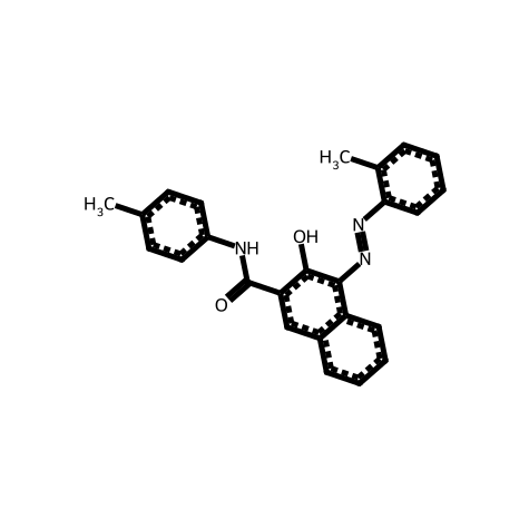 Cc1ccc(NC(=O)c2cc3ccccc3c(/N=N/c3ccccc3C)c2O)cc1